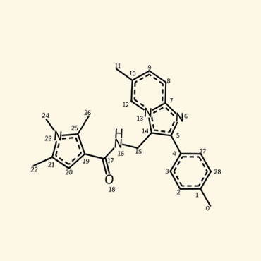 Cc1ccc(-c2nc3ccc(C)cn3c2CNC(=O)c2cc(C)n(C)c2C)cc1